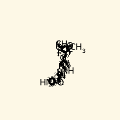 COc1cc(OC)c(F)c(COc2cnc(Nc3nc(C(=O)N4CCNCC4)cs3)nc2)c1F